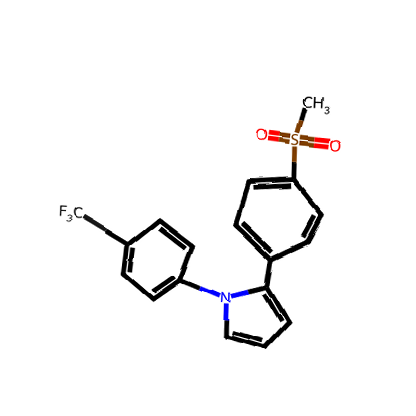 CS(=O)(=O)c1ccc(-c2cccn2-c2ccc(C(F)(F)F)cc2)cc1